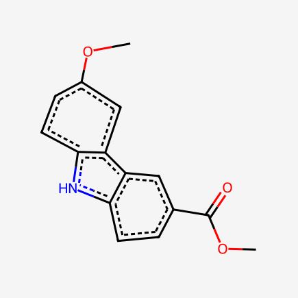 COC(=O)c1ccc2[nH]c3ccc(OC)cc3c2c1